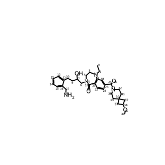 CCN1CCN(CC(O)CCc2ccccc2CN)C(=O)c2ccc(C(=O)N3CCC4(CC3)CC(OC)C4)cc21